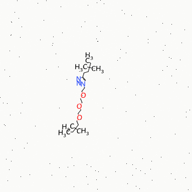 CCC(C)(C)CCOCCOCCOCCn1cc(CCC(C)(C)CC)nn1